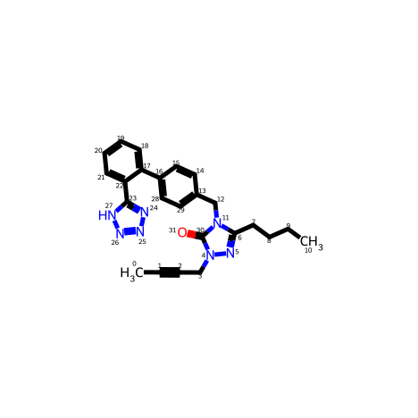 CC#CCn1nc(CCCC)n(Cc2ccc(-c3ccccc3-c3nnn[nH]3)cc2)c1=O